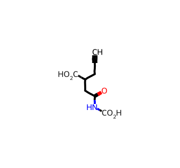 C#CCC(CC(=O)NC(=O)O)C(=O)O